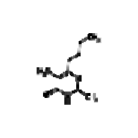 CCCCc1nc(C)[nH]c(=O)c1C